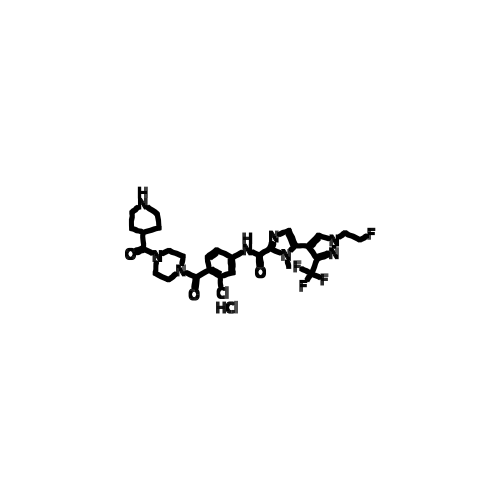 Cl.Cn1c(-c2cn(CCF)nc2C(F)(F)F)cnc1C(=O)Nc1ccc(C(=O)N2CCN(C(=O)C3CCNCC3)CC2)c(Cl)c1